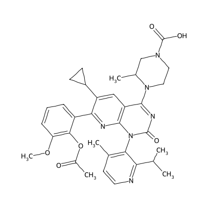 COc1cccc(-c2nc3c(cc2C2CC2)c(N2CCN(C(=O)O)CC2C)nc(=O)n3-c2c(C)ccnc2C(C)C)c1OC(C)=O